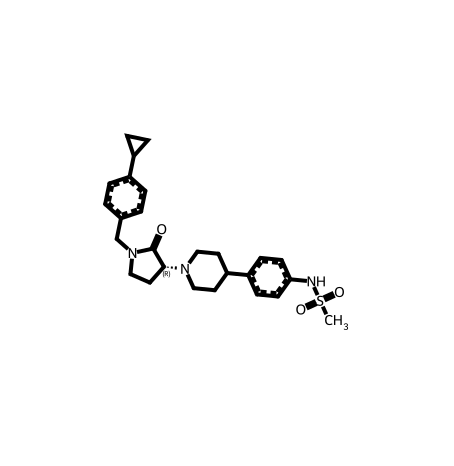 CS(=O)(=O)Nc1ccc(C2CCN([C@@H]3CCN(Cc4ccc(C5CC5)cc4)C3=O)CC2)cc1